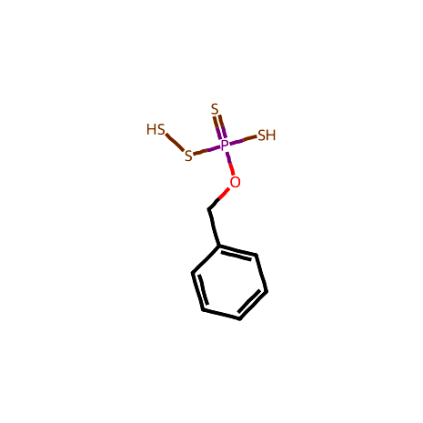 S=P(S)(OCc1ccccc1)SS